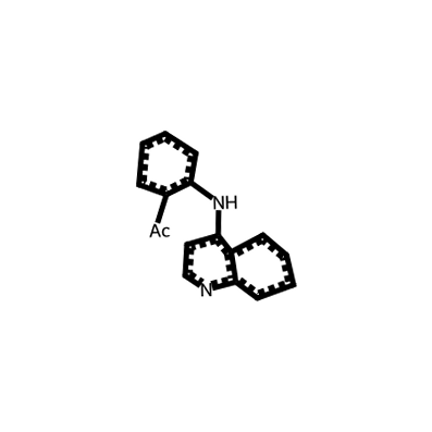 CC(=O)c1ccccc1Nc1ccnc2ccccc12